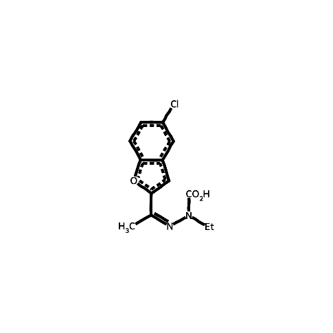 CCN(/N=C(/C)c1cc2cc(Cl)ccc2o1)C(=O)O